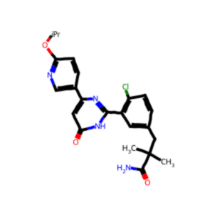 CC(C)Oc1ccc(-c2cc(=O)[nH]c(-c3cc(CC(C)(C)C(N)=O)ccc3Cl)n2)cn1